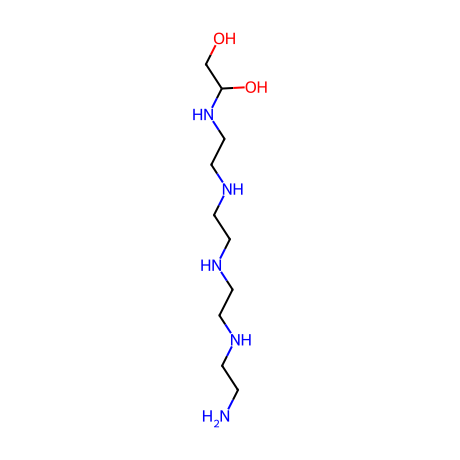 NCCNCCNCCNCCNC(O)CO